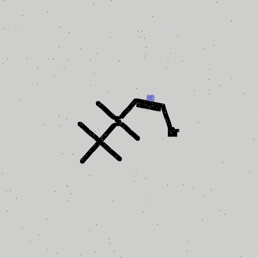 CC(C)(C)S(C)(C)/C=C\Br